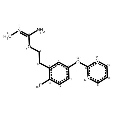 C/N=C(/N)OCCc1cc(Oc2ncccn2)ccc1F